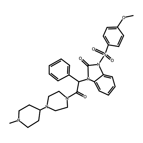 COc1ccc(S(=O)(=O)n2c(=O)n(C(C(=O)N3CCN(C4CCN(C)CC4)CC3)c3ccccc3)c3ccccc32)cc1